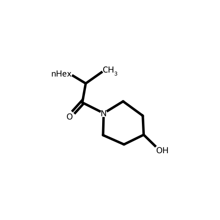 CCCCCCC(C)C(=O)N1CCC(O)CC1